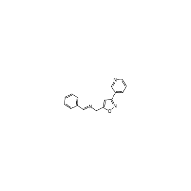 C(=NCc1cc(-c2cccnc2)no1)c1ccccc1